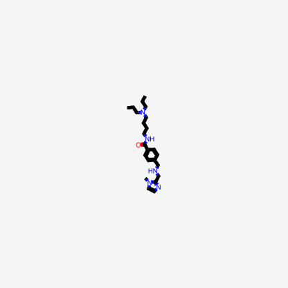 CCCN(CCC)CCCCNC(=O)c1ccc(CNCc2nccn2C)cc1